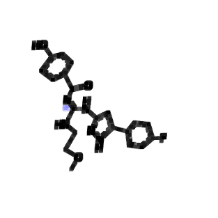 COCCN/C(=N/C(=O)c1ccc(O)cc1)Nc1cc(-c2ccc(F)cc2)[nH]n1